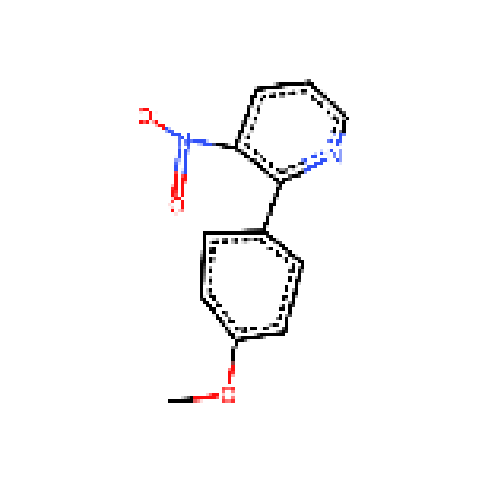 COc1ccc(-c2ncccc2[N+](=O)[O-])cc1